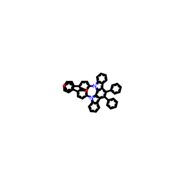 c1ccc(-c2ccc(-n3c4ccccc4c4c(-c5ccccc5)c(-c5ccccc5)c5c6ccccc6n(-c6ccc(-c7ccccc7)cc6)c5c43)cc2)cc1